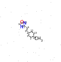 Cc1ccc(C=Cc2ncon2)cc1